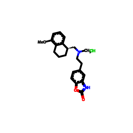 COc1cccc2c1CCC[C@H]2CN(C)CCc1ccc2oc(=O)[nH]c2c1.Cl